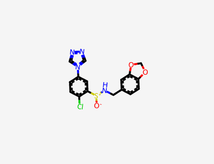 [O-][S+](NCc1ccc2c(c1)OCO2)c1cc(-n2cnnc2)ccc1Cl